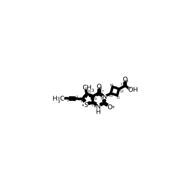 CC#Cc1sc2[nH]c(=O)n(C3CC(C(=O)O)C3)c(=O)c2c1C